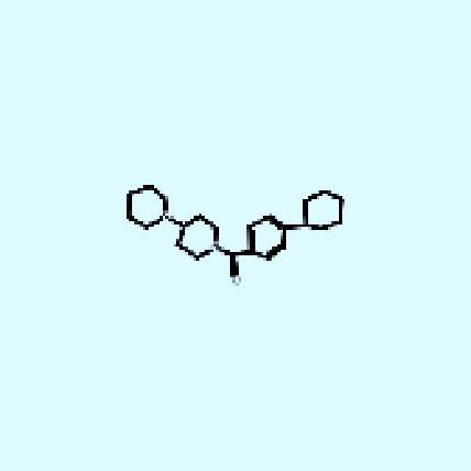 O=C(c1ccc(C2CCCCC2)cc1)N1CCC(N2CCCCC2)CC1